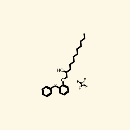 CCCCCCCCCCC(O)COc1ccccc1[I+]c1ccccc1.F[B-](F)(F)F